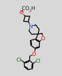 O=C(O)OC1CC(N2CCC3(CC2)COc2cc(OCc4c(Cl)cccc4Cl)ccc23)C1